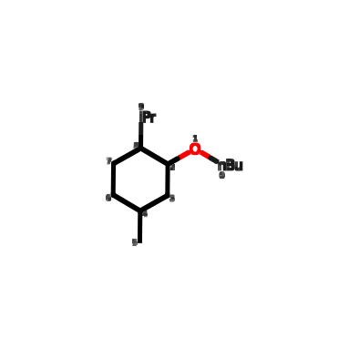 CCCCOC1CC(C)CCC1C(C)C